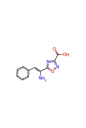 NC(=Cc1ccccc1)c1nc(C(=O)O)no1